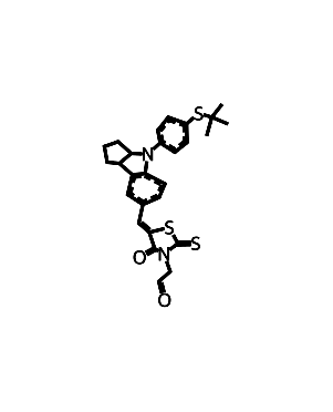 CC(C)(C)Sc1ccc(N2c3ccc(/C=C4\SC(=S)N(CC=O)C4=O)cc3C3CCCC32)cc1